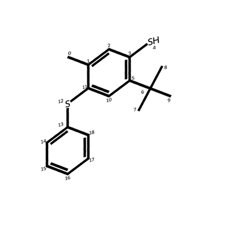 Cc1cc(S)c(C(C)(C)C)cc1Sc1ccccc1